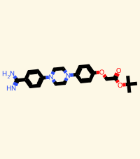 CC(C)(C)OC(=O)COc1ccc(N2CCN(c3ccc(C(=N)N)cc3)CC2)cc1